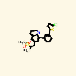 CC(Cc1cc(-c2cccc(-c3ccc(Cl)s3)c2)c2ncccc2c1)S(C)(=O)=O